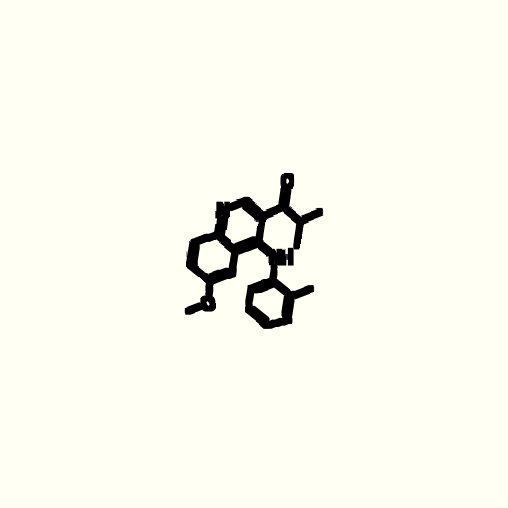 COc1ccc2ncc(C(=O)C(C)C)c(Nc3ccccc3C)c2c1